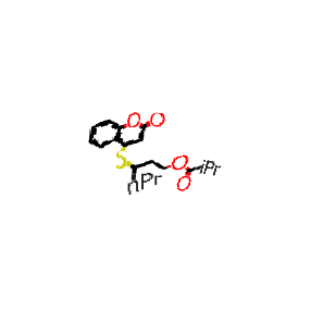 CCCC(CCOC(=O)C(C)C)Sc1cc(=O)oc2ccccc12